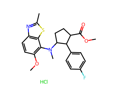 COC(=O)C1CCC(N(C)c2c(OC)ccc3nc(C)sc23)C1c1ccc(F)cc1.Cl